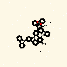 N#Cc1ccc(-c2cc(-c3cc(C(F)(F)F)cc(C(F)(F)F)c3)ccc2-n2c3ccccc3c3cc(-n4c5ccccc5c5ccccc54)ccc32)c(-n2c3ccccc3c3cc(-n4c5ccccc5c5ccccc54)ccc32)c1